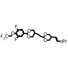 CCCC=CC1COC(CCC2COC(c3cc(F)c(OCC(F)(F)F)c(F)c3)OC2)OC1